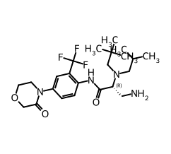 CC(C)CN(CC(C)(C)C)[C@H](CN)C(=O)Nc1ccc(N2CCOCC2=O)cc1C(F)(F)F